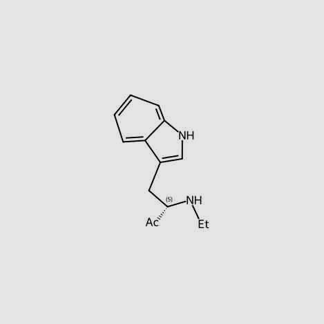 CCN[C@@H](Cc1c[nH]c2ccccc12)C(C)=O